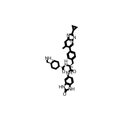 Cc1cc2nc(C3CC3)nn2cc1-c1ccc(C[C@H](NC(=O)[C@H]2CC[C@H](CN)CC2)C(=O)Nc2ccc3[nH]c(=O)[nH]c3c2)cc1